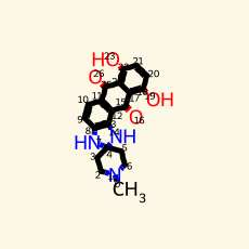 CN1CCC2(CC1)Nc1ccc3c(c1N2)C(=O)c1c(O)ccc(O)c1C3=O